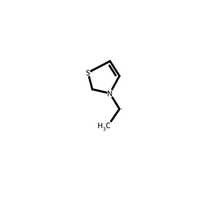 C[CH]N1C=CSC1